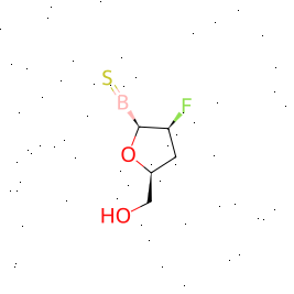 OC[C@@H]1C[C@H](F)[C@H](B=S)O1